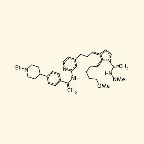 C=C(Nc1cc(CC/C=c2/ccn(C(=C)NNC)/c2=C/CCCCOC)ccn1)c1ccc(C2CCN(CC)CC2)cc1